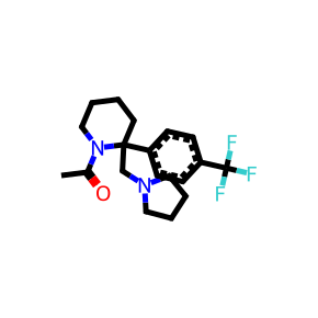 CC(=O)N1CCCCC1(CN1CCCC1)c1ccc(C(F)(F)F)cc1